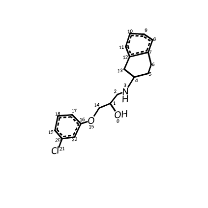 OC(CNC1CCc2ccccc2C1)COc1cccc(Cl)c1